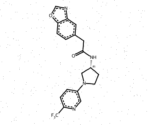 O=C(Cc1ccc2ocnc2c1)N[C@@H]1CCN(c2ccc(C(F)(F)F)nc2)C1